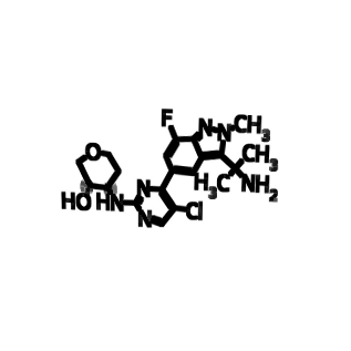 Cn1nc2c(F)cc(-c3nc(N[C@@H]4CCOC[C@H]4O)ncc3Cl)cc2c1C(C)(C)N